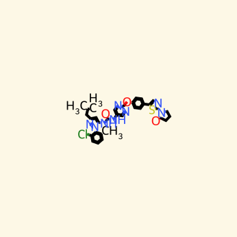 Cc1cccc(Cl)c1-n1nc(CC(C)C)cc1NC(=O)Nc1cnc(Oc2ccc(-c3cnc(N4CCCC4=O)s3)cc2)nc1